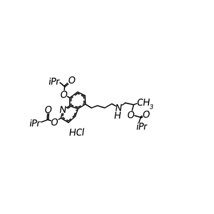 CC(CNCCCCc1ccc(OC(=O)C(C)C)c2nc(OC(=O)C(C)C)ccc12)OC(=O)C(C)C.Cl